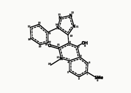 CSc1ccc2c(c1)c(O)c(-c1nnnn1-c1ccccc1)c(=O)n2C